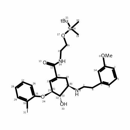 COc1cccc(CCN[C@@H]2CC(C(=O)NCCO[Si](C)(C)C(C)(C)C)=C[C@H](Oc3ccccc3I)[C@H]2O)c1